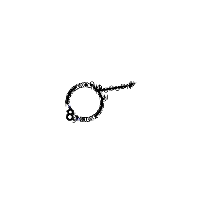 [N-]=[N+]=NCCOCCOCCOCCOCCC(=O)N1CCNC(=O)CCOCCOCCOCCOCCO/N=C2/CSC3CCCCC4SC/C(=N\OCCOCCOCCOCCOCCC(=O)NCC1)CSC4C3SC2